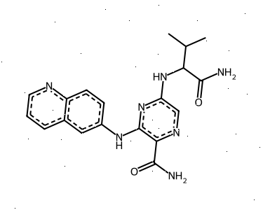 CC(C)C(Nc1cnc(C(N)=O)c(Nc2ccc3ncccc3c2)n1)C(N)=O